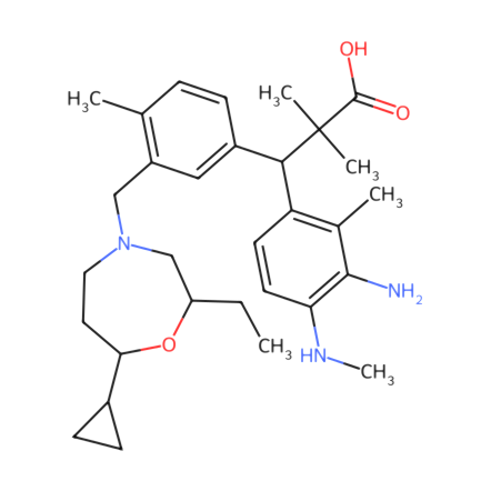 CCC1CN(Cc2cc(C(c3ccc(NC)c(N)c3C)C(C)(C)C(=O)O)ccc2C)CCC(C2CC2)O1